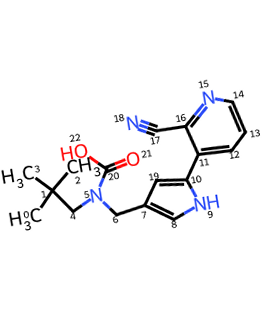 CC(C)(C)CN(Cc1c[nH]c(-c2cccnc2C#N)c1)C(=O)O